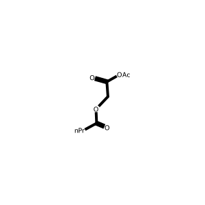 CCCC(=O)OCC(=O)OC(C)=O